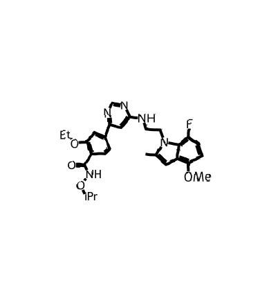 CCOc1cc(-c2cc(NCCn3c(C)cc4c(OC)ccc(F)c43)ncn2)ccc1C(=O)NOC(C)C